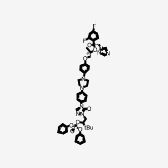 CC(C)(C)C(Cn1ncn(-c2ccc(N3CCN(c4ccc(OC[C@@H]5CO[C@@](Cn6cncn6)(c6ccc(F)cc6F)O5)cc4)CC3)cc2)c1=O)OP(=O)(Oc1ccccc1)Oc1ccccc1